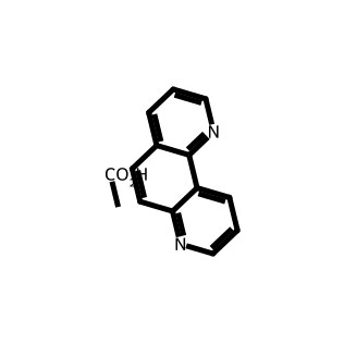 CC(=O)O.c1cnc2c(c1)ccc1ncccc12